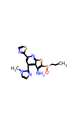 CCC[S+]([O-])c1sc2nc(-c3nccs3)cc(-c3nccn3C)c2c1N